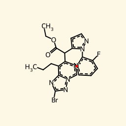 CCCc1c(C(C(=O)OCC)c2ccnn2-c2ncccc2F)ncn2nc(Br)nc12